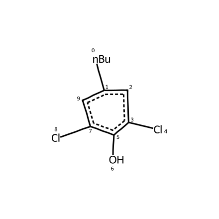 CCCCc1cc(Cl)c(O)c(Cl)c1